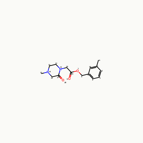 Cc1cccc(COC(=O)CN2CCN(C)CC2=O)c1